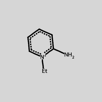 CC[n+]1ccccc1N